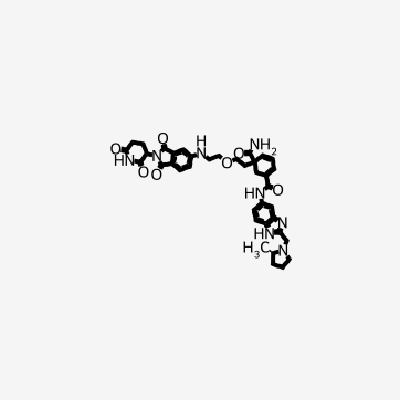 C[C@H]1CCCN1Cc1nc2cc(NC(=O)C3=CC=CC(CCOCCNc4ccc5c(c4)C(=O)N(C4CCC(=O)NC4=O)C5=O)(C(N)=O)C3)ccc2[nH]1